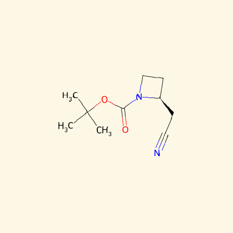 CC(C)(C)OC(=O)N1CC[C@H]1CC#N